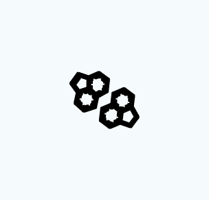 C1=Cc2cccc3cccc1c23.c1cc2c3c(cccc3c1)CC2